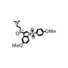 COc1ccc(S(=O)(=O)n2cc([S+]([O-])CCN(C)C)c3cc(OC)ccc32)cc1